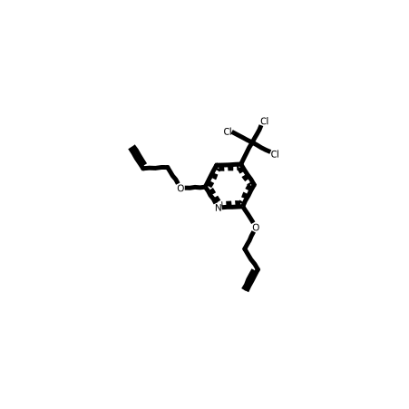 C=CCOc1cc(C(Cl)(Cl)Cl)cc(OCC=C)n1